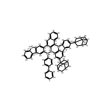 c1ccc(-c2ccc(N3B4c5c(cc6ccccc6c5-n5c6ccc(C78CC9CC(CC(C9)C7)C8)cc6c6cc(C78CC9CC(CC(C9)C7)C8)cc4c65)-c4cc5sc6ccccc6c5cc43)cc2)cc1